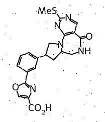 CSc1ncc2c(n1)N1CC(c3cccc(-c4nc(C(=O)O)co4)c3)CC1CNC2=O